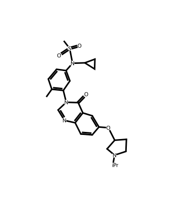 Cc1ccc(N(C2CC2)S(C)(=O)=O)cc1-n1cnc2ccc(OC3CCN(C(C)C)C3)cc2c1=O